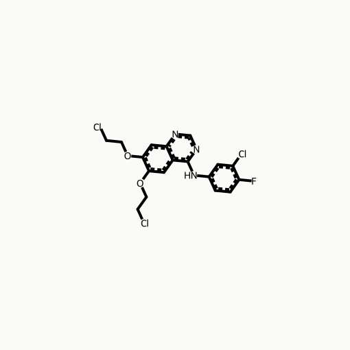 Fc1ccc(Nc2ncnc3cc(OCCCl)c(OCCCl)cc23)cc1Cl